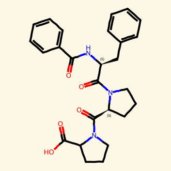 O=C(N[C@@H](Cc1ccccc1)C(=O)N1CCC[C@H]1C(=O)N1CCCC1C(=O)O)c1ccccc1